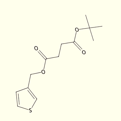 CC(C)(C)OC(=O)CCC(=O)OCc1ccsc1